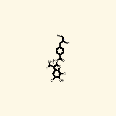 CC(=O)/C=C(\Cc1ccc(C(=O)Nc2sc3c(Cl)c(O)c(Cl)cc3c2C(N)=O)cc1)C(C)C